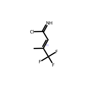 C/C(=C\C(=N)Cl)C(F)(F)F